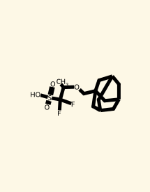 CC(OCC12CC3CC(CC(C3)C1)C2)C(F)(F)S(=O)(=O)O